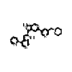 c1ccc(-c2cncc3[nH]c(-c4n[nH]c5cnc(-c6cncc(CN7CCCCC7)c6)cc45)cc23)nc1